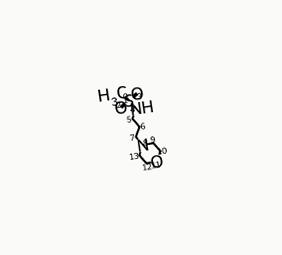 CS(=O)(=O)NCCCN1CCOCC1